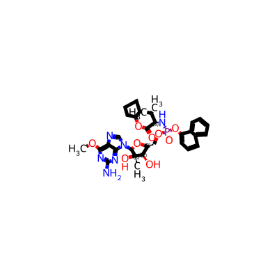 COc1nc(N)nc2c1ncn2C1O[C@H](COP(=O)(N[C@H](C(=O)OC2CCCC2)C(C)C)Oc2cccc3ccccc23)[C@@H](O)[C@@]1(C)O